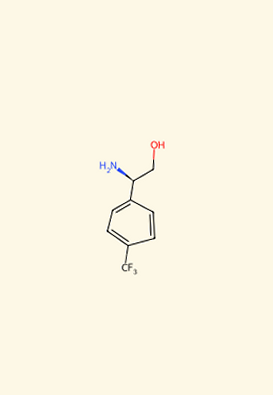 N[C@@H](CO)c1ccc(C(F)(F)F)cc1